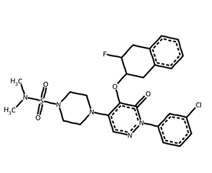 CN(C)S(=O)(=O)N1CCN(c2cnn(-c3cccc(Cl)c3)c(=O)c2OC2Cc3ccccc3CC2F)CC1